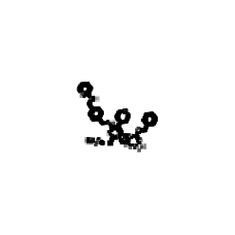 CC(=O)O.O=C(N[C@@H](Cn1cc(C2CCOCC2)c(NCc2ccc(CNc3ccccn3)cc2)nc1=O)C(=O)O)OCc1ccccc1